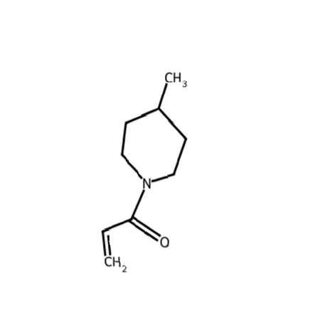 C=CC(=O)N1CCC(C)CC1